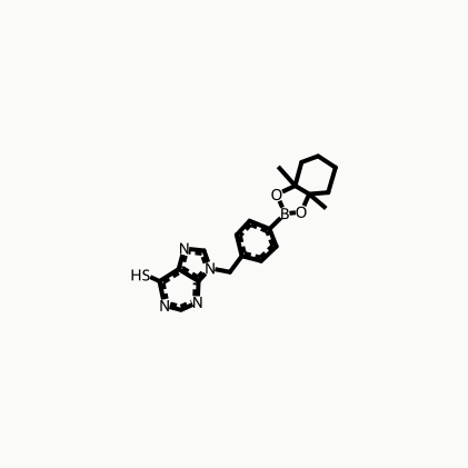 CC12CCCCC1(C)OB(c1ccc(Cn3cnc4c(S)ncnc43)cc1)O2